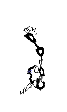 COc1ccc(-c2ccc(CO[C@H]3CC[C@H](N4CCCCC4)[C@H]3OC/C=C\CCC(=O)O)cc2)cc1